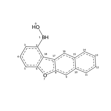 OBc1cccc2oc3cc4ccccc4cc3c12